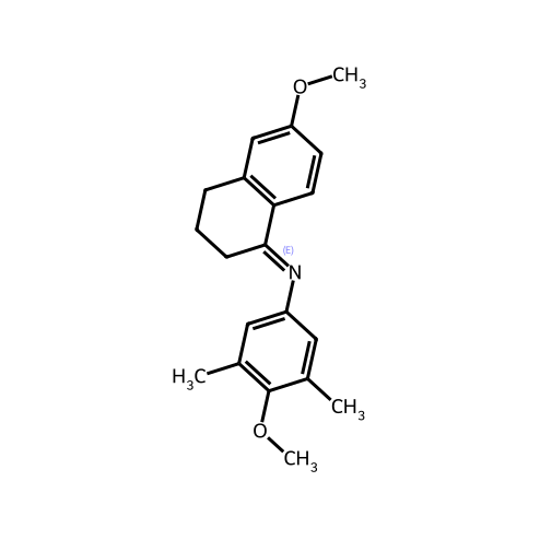 COc1ccc2c(c1)CCC/C2=N\c1cc(C)c(OC)c(C)c1